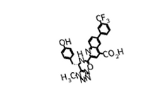 Cn1nnnc1[C@H](Cc1ccc(O)cc1)NC(=O)c1cc(C(=O)O)c2cc(-c3cccc(C(F)(F)F)c3)ccc2n1